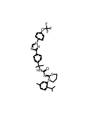 Cc1ccc(C(C)C)c(N2CCCS/C2=N\C(=O)NC(C)(C)c2ccc(-c3ncn(-c4ccc(OC(F)(F)F)cc4)n3)cc2)c1